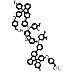 C=CC1=CC=C(OC2C=CC(C3(C4C=CC(F)=CC4)C4=C(CCC(C5CC=CC(N(C6=CC7C(C=C6)OC6C=CC(N(c8cccc(C9=CC%10=C(CC9)c9ccccc9C%10(c9ccc(F)cc9)c9ccc(Oc%10ccc(C=C)cc%10)cc9)c8)c8ccc(F)c(F)c8)=CC67)C6CCC(F)=C(F)C6)C5)=C4)c4ccccc43)CC2)CC1